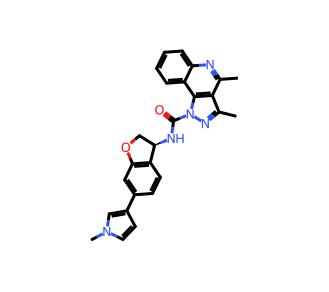 Cc1nc2ccccc2c2c1c(C)nn2C(=O)N[C@@H]1COc2cc(-c3ccn(C)c3)ccc21